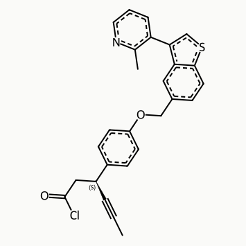 CC#C[C@@H](CC(=O)Cl)c1ccc(OCc2ccc3scc(-c4cccnc4C)c3c2)cc1